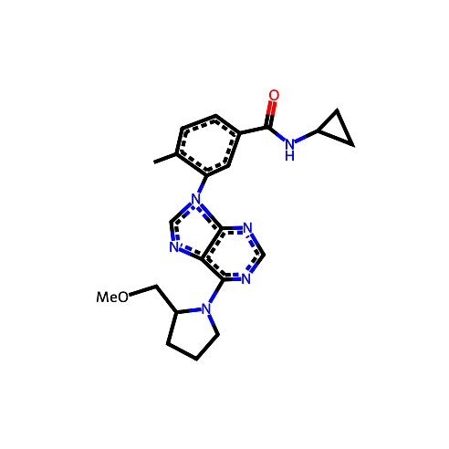 COCC1CCCN1c1ncnc2c1ncn2-c1cc(C(=O)NC2CC2)ccc1C